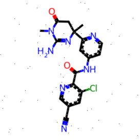 CN1C(=O)CC(C)(c2cc(NC(=O)c3ncc(C#N)cc3Cl)ccn2)N=C1N